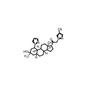 C[C@@]1(O)CC(n2cccn2)[C@H]2[C@H](CC[C@@H]3[C@@H]2CC[C@]2(C)[C@@H](C(=O)Cn4cc(C#N)cn4)CC[C@@H]32)C1